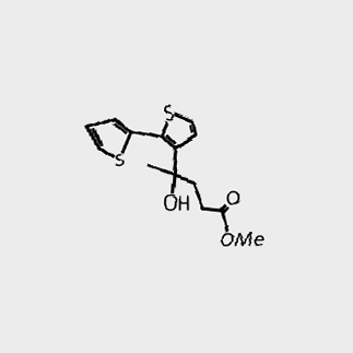 COC(=O)CCC(C)(O)c1ccsc1-c1cccs1